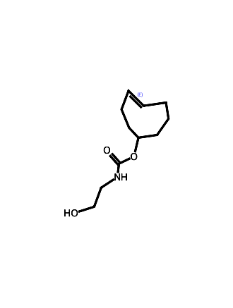 O=C(NCCO)OC1CC/C=C/CCC1